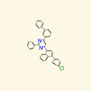 Clc1ccc(-c2ccc(-c3cc(-c4cccc(-c5ccccc5)c4)nc(-c4ccccc4)n3)c3ccccc23)cc1